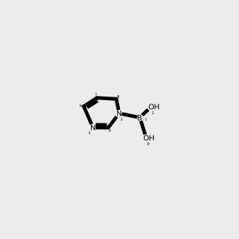 OB(O)N1C=NC=CC1